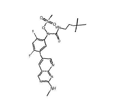 CNc1ncc2cc(-c3cc(N(OS(C)(=O)=O)C(=O)NCCC(C)(C)C)c(F)cc3F)cnc2n1